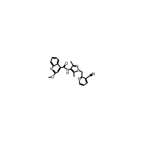 COc1cc(C(=O)Nc2c(C)nn(Cc3ncccc3C#N)c2C)c2ccccc2n1